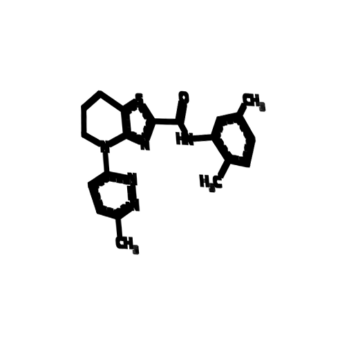 Cc1ccc(C)c(NC(=O)c2nc3c(s2)CCCN3c2ccc(C)nn2)c1